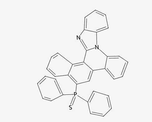 S=P(c1ccccc1)(c1ccccc1)c1cc2c3ccccc3n3c4ccccc4nc3c2c2ccccc12